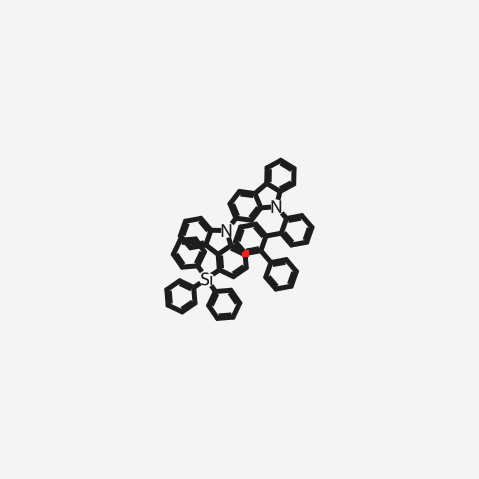 c1ccc(-c2ccccc2-c2ccccc2-n2c3ccccc3c3ccc(-n4c5ccccc5c5c([Si](c6ccccc6)(c6ccccc6)c6ccccc6)cccc54)cc32)cc1